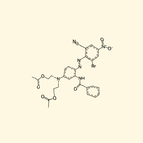 CC(=O)OCCN(CCOC(C)=O)c1ccc(N=Nc2c(Br)cc([N+](=O)[O-])cc2C#N)c(NC(=O)c2ccccc2)c1